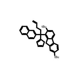 C=CCCC(C1=CC=CC1)(c1ccc2ccccc2c1)c1c(C(C)(C)C)ccc2c1Cc1cc(C(C)(C)C)ccc1-2